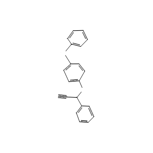 C#CC(Oc1ccc(Oc2ccccc2)cc1)c1ccccc1